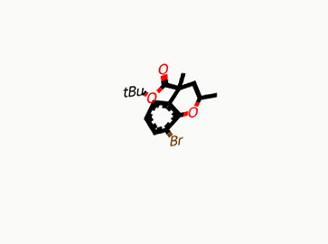 CC1CC(C)(C(=O)OC(C)(C)C)c2cccc(Br)c2O1